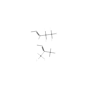 CC=C(C(F)(F)F)C(F)(F)F.CC=C(F)C(F)(F)C(F)(F)F